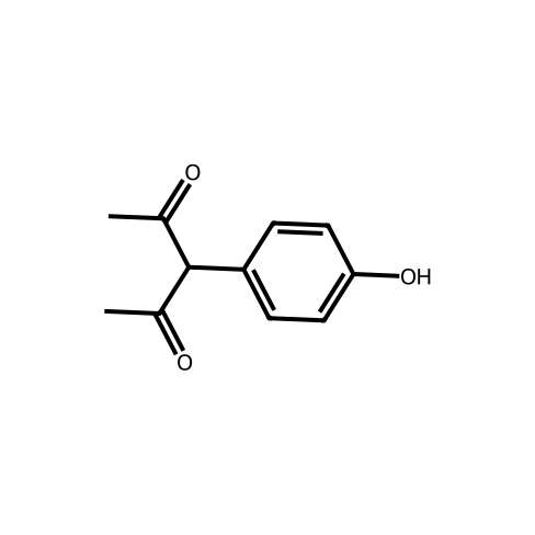 CC(=O)C(C(C)=O)c1ccc(O)cc1